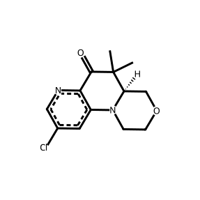 CC1(C)C(=O)c2ncc(Cl)cc2N2CCOC[C@@H]21